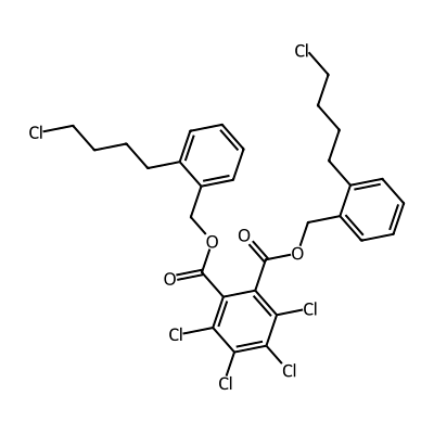 O=C(OCc1ccccc1CCCCCl)c1c(Cl)c(Cl)c(Cl)c(Cl)c1C(=O)OCc1ccccc1CCCCCl